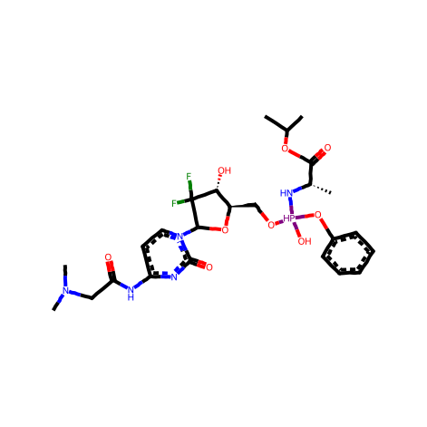 CC(C)OC(=O)[C@H](C)N[PH](O)(OC[C@H]1OC(n2ccc(NC(=O)CN(C)C)nc2=O)C(F)(F)[C@@H]1O)Oc1ccccc1